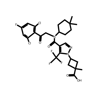 CC1(C)CCC(N(CC(=O)c2c(Cl)cc(F)cc2Cl)C(=O)c2cnn(C3CC(C)(C(=O)O)C3)c2C(F)(F)F)CC1